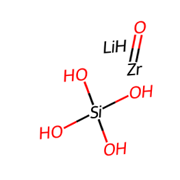 O[Si](O)(O)O.[LiH].[O]=[Zr]